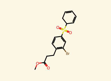 COC(=O)CCc1ccc(S(=O)(=O)C2C=CC=CC2)cc1Br